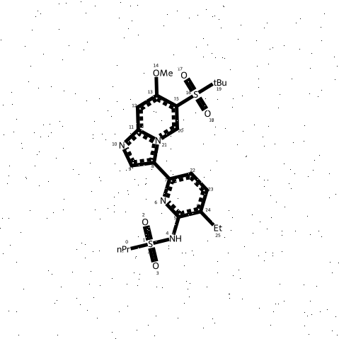 CCCS(=O)(=O)Nc1nc(-c2cnc3cc(OC)c(S(=O)(=O)C(C)(C)C)cn23)ccc1CC